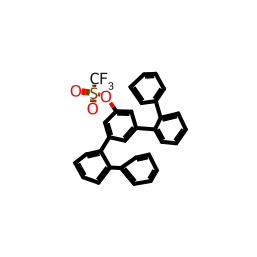 O=S(=O)(Oc1cc(-c2ccccc2-c2ccccc2)cc(-c2ccccc2-c2ccccc2)c1)C(F)(F)F